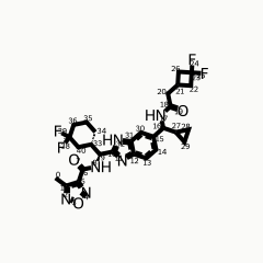 Cc1nonc1C(=O)N[C@H](c1nc2ccc(C(NC(=O)CC3CC(F)(F)C3)C3CC3)cc2[nH]1)[C@H]1CCCC(F)(F)C1